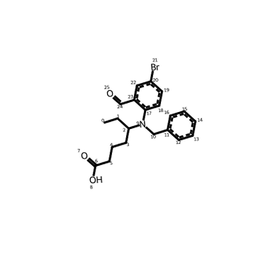 CCC(CCCC(=O)O)N(Cc1ccccc1)c1ccc(Br)cc1C=O